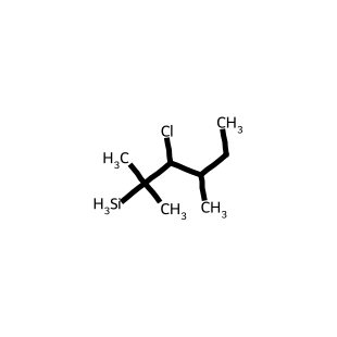 CCC(C)C(Cl)C(C)(C)[SiH3]